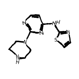 c1cc(Nc2nccs2)nc(N2CCNCC2)n1